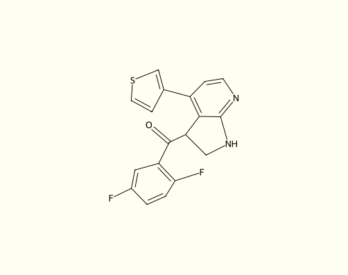 O=C(c1cc(F)ccc1F)C1CNc2nccc(-c3ccsc3)c21